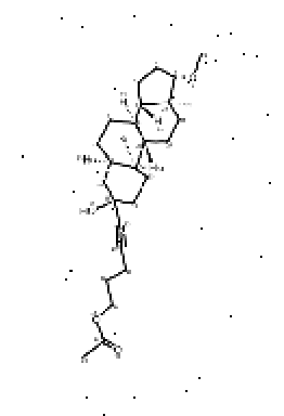 CO[C@H]1CC[C@H]2[C@@H]3CC[C@@H]4C[C@@](O)(C#CCCCOC(C)=O)CC[C@]4(C)[C@H]3CC[C@]12C